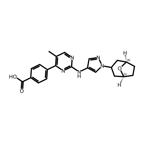 Cc1cnc(Nc2cnn(C3C[C@H]4CC[C@@H](C3)O4)c2)nc1-c1ccc(C(=O)O)cc1